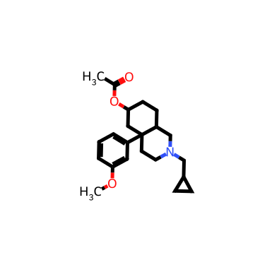 COc1cccc(C23CCN(CC4CC4)CC2CCC(OC(C)=O)C3)c1